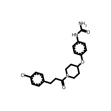 NC(=O)Nc1ccc(OC2CCN(C(=O)CCc3ccc(Cl)cc3)CC2)cc1